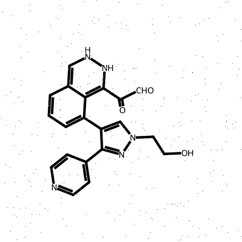 O=CC(=O)C1=c2c(-c3cn(CCO)nc3-c3ccncc3)cccc2=CNN1